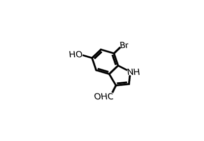 O=Cc1c[nH]c2c(Br)cc(O)cc12